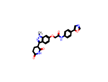 Cn1nc(C2CCC(=O)NC2=O)c2ccc(OCC(=O)Nc3ccc(-c4cnco4)cc3)cc21